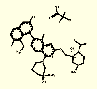 CCc1c(F)ccc2cc(O)cc(-c3ccc4c(N5CCC[C@@](C)(O)C5)nc(OC[C@]5(C)CN(C)CC[C@@H]5C(F)F)nc4c3F)c12.O=C(O)C(F)(F)F